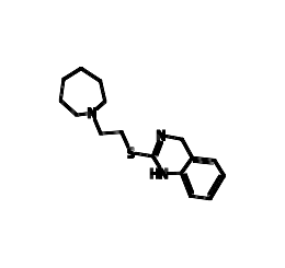 c1ccc2c(c1)CN=C(SCCN1CCCCCC1)N2